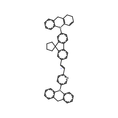 C1=CC2=C(CC1)Cc1ccccc1N2c1ccc2c(c1)C1(CCCC1)c1cc(/C=C/c3ccc(N4c5ccccc5Cc5ccccc54)cn3)ccc1-2